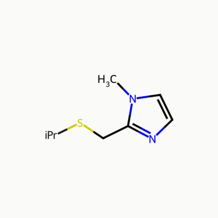 [CH2]C(C)SCc1nccn1C